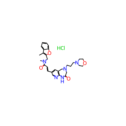 Cc1c(CN(C)C(=O)C=Cc2cnc3c(c2)CN(CCCN2CCOCC2)CC(=O)N3)oc2ccccc12.Cl